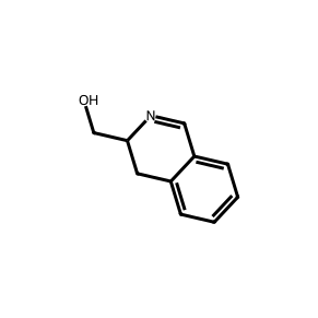 OCC1Cc2ccccc2C=N1